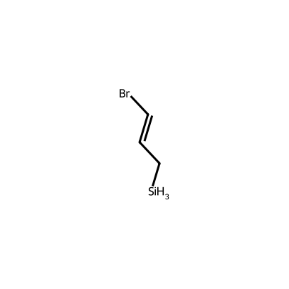 [SiH3]CC=CBr